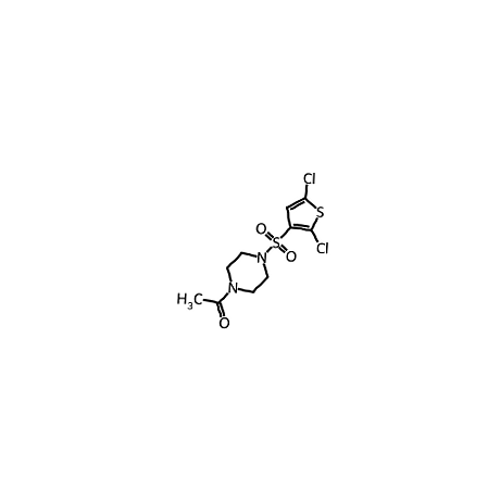 CC(=O)N1CCN(S(=O)(=O)c2cc(Cl)sc2Cl)CC1